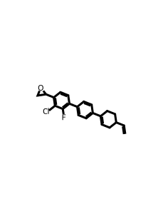 C=CC1CC=C(c2ccc(-c3ccc(C4CO4)c(Cl)c3F)cc2)CC1